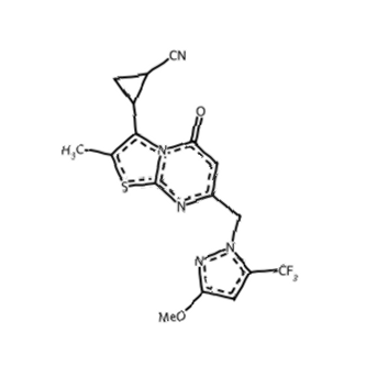 COc1cc(C(F)(F)F)n(Cc2cc(=O)n3c(C4CC4C#N)c(C)sc3n2)n1